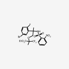 CCOC(=O)C(C)(OCC(C)(NS(=O)(=O)c1ccccc1[N+](=O)[O-])c1cc(Br)ccc1F)C(F)(F)F